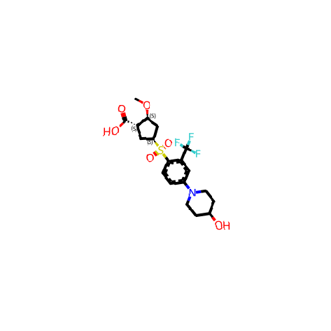 CO[C@H]1C[C@@H](S(=O)(=O)c2ccc(N3CCC(O)CC3)cc2C(F)(F)F)C[C@@H]1C(=O)O